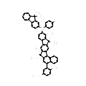 Cc1ccc(N(c2ccc3c(c2)C(C)(C)c2ccccc2-3)c2ccc3c(c2)C(C)(C)c2cc4c(cc2-3)C(C)(C)c2cc(-c3cc(C)ccc3C)c3ccccc3c2-4)cc1